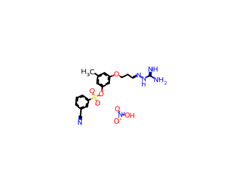 Cc1cc(OCCC=NNC(=N)N)cc(OS(=O)(=O)c2cccc(C#N)c2)c1.O=[N+]([O-])O